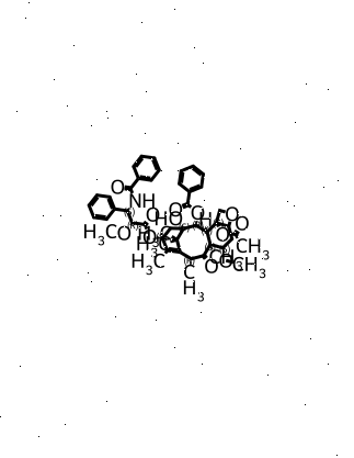 CO[C@H]1CC2OC[C@@]2(OC(C)=O)[C@@H]2[C@@H](OC(=O)c3ccccc3)[C@]3(O)C[C@H](OC(=O)[C@H](OC)[C@@H](NC(=O)c4ccccc4)c4ccccc4)C(C)=C([C@@H](C)C(=O)[C@]12C)C3(C)C